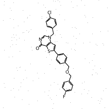 O=c1ncn(Cc2ccc(Cl)cc2)c2cc(-c3ccc(COCc4ccc(F)cc4)cc3)sc12